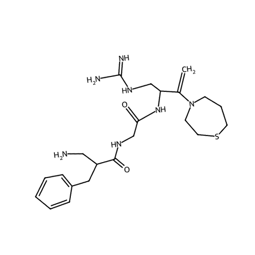 C=C(C(CNC(=N)N)NC(=O)CNC(=O)C(CN)Cc1ccccc1)N1CCCSCC1